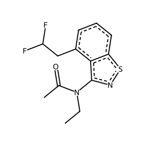 CCN(C(C)=O)c1nsc2cccc(CC(F)F)c12